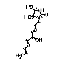 CC=COCC(O)COCCN1C(=O)NC(O)C1O